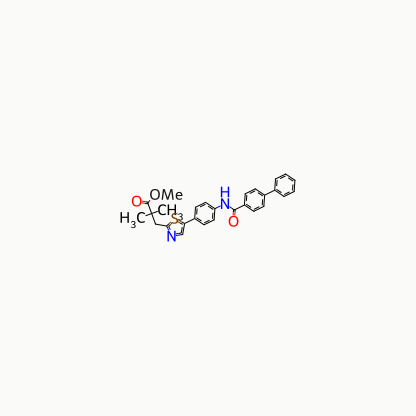 COC(=O)C(C)(C)Cc1ncc(-c2ccc(NC(=O)c3ccc(-c4ccccc4)cc3)cc2)s1